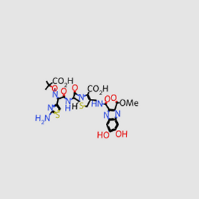 COC(=O)c1nc2cc(O)c(O)cc2nc1C(=O)NCC1=C(C(=O)O)N2C(=O)C(NC(=O)/C(=N\OC(C)(C)C(=O)O)c3csc(N)n3)[C@@H]2SC1